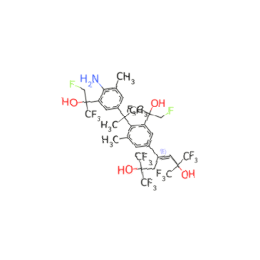 Cc1cc(C(C)(C)c2c(C)cc(/C(=C/C(O)(C(F)(F)F)C(F)(F)F)CC(O)(C(F)(F)F)C(F)(F)F)cc2C(O)(CF)C(F)(F)F)cc(C(O)(CF)C(F)(F)F)c1N